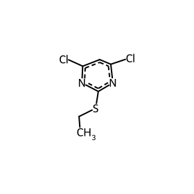 CCSc1nc(Cl)cc(Cl)n1